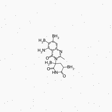 Bc1cc2nc(C)n(C3(B)CC(B)C(=O)NC3=O)c(=O)c2c(N)c1B